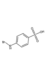 O=S(=O)(O)c1ccc(NBr)cc1